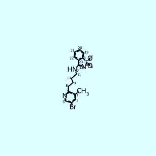 Cc1cc(Br)cnc1CCCCNC1=NS(=O)(=O)c2ccccc21